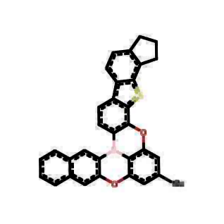 CC(C)(C)c1cc2c3c(c1)Oc1c(ccc4c1sc1c5c(ccc14)CCC5)B3c1cc3ccccc3cc1O2